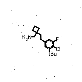 CC(C)(C)c1cc(CCC2(CN)CCC2)cc(F)c1Cl